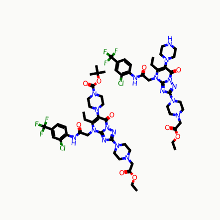 CCOC(=O)CN1CCN(c2nc3n(CC(=O)Nc4ccc(C(F)(F)F)cc4Cl)c(CC)c(N4CCN(C(=O)OC(C)(C)C)CC4)c(=O)n3n2)CC1.CCOC(=O)CN1CCN(c2nc3n(CC(=O)Nc4ccc(C(F)(F)F)cc4Cl)c(CC)c(N4CCNCC4)c(=O)n3n2)CC1